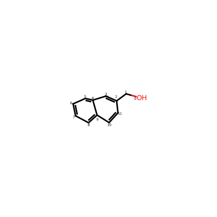 OCc1[c]c2ccccc2cc1